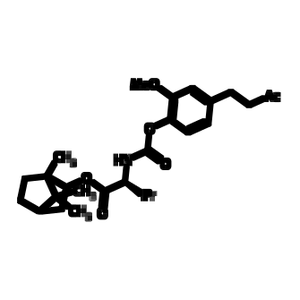 COc1cc(CCC(C)=O)ccc1OC(=O)N[C@H](C(=O)OC1CC2CCC1(C)C2(C)C)C(C)C